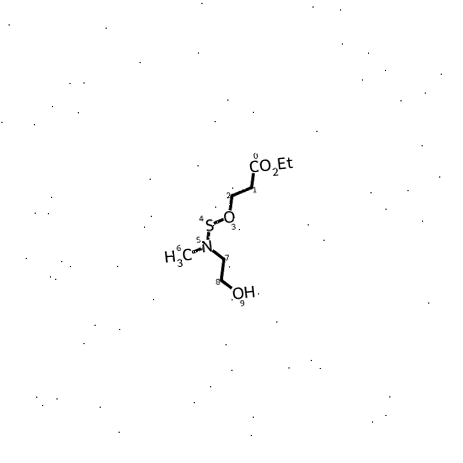 CCOC(=O)CCOSN(C)CCO